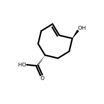 O=C(O)[C@@H]1CC/C=C/[C@@H](O)CC1